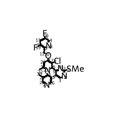 CSc1nccc(C2C(Cl)=C(OCc3ncc(F)cc3F)C=C(C)N2c2ccncc2C)n1